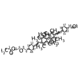 C=CC(=O)OCCOCCc1ccc(C#Cc2c(C)c(C)c(-c3c(C)c(C)c(C#Cc4ccc(CCO)cc4)c(C)c3C)c(C)c2C)cc1